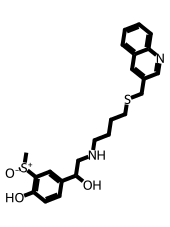 C[S+]([O-])c1cc(C(O)CNCCCCSCc2cnc3ccccc3c2)ccc1O